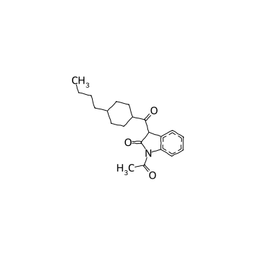 CCCCC1CCC(C(=O)C2C(=O)N(C(C)=O)c3ccccc32)CC1